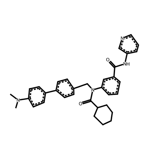 CN(C)c1ccc(-c2ccc(CN(C(=O)C3CCCCC3)c3cccc(C(=O)Nc4cccnc4)c3)cc2)cc1